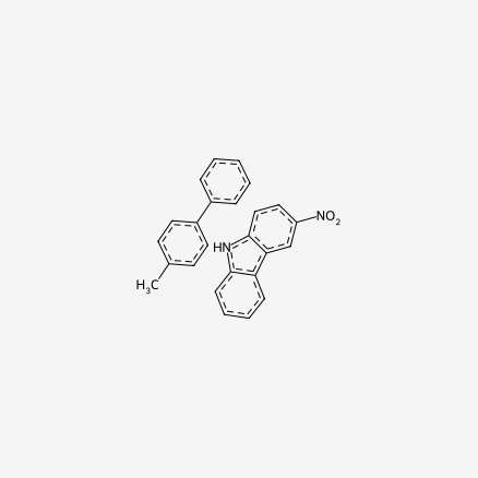 Cc1ccc(-c2ccccc2)cc1.O=[N+]([O-])c1ccc2[nH]c3ccccc3c2c1